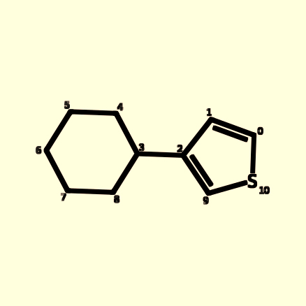 c1cc(C2CCCCC2)cs1